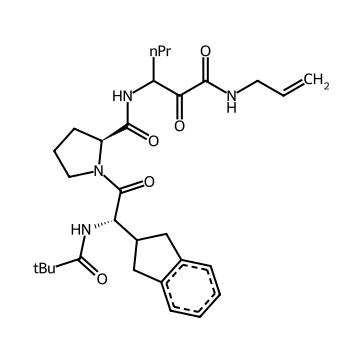 C=CCNC(=O)C(=O)C(CCC)NC(=O)[C@@H]1CCCN1C(=O)[C@@H](NC(=O)C(C)(C)C)C1Cc2ccccc2C1